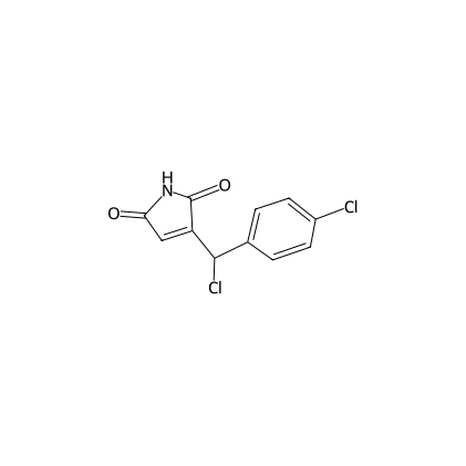 O=C1C=C(C(Cl)c2ccc(Cl)cc2)C(=O)N1